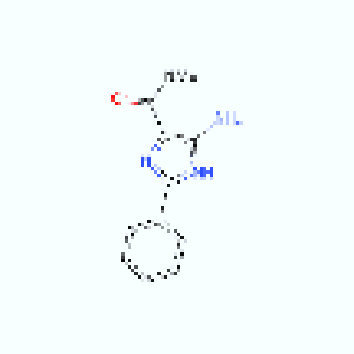 CNC(=O)c1nc(-c2ccccc2)[nH]c1N